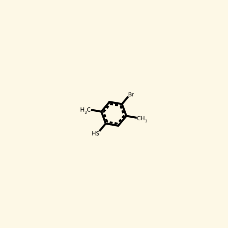 Cc1cc(Br)c(C)cc1S